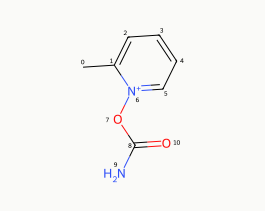 Cc1cccc[n+]1OC(N)=O